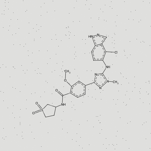 COc1cc(-c2nc(Nc3ccc4[nH]ncc4c3Cl)n(C)n2)ccc1C(=O)NC1CCS(=O)(=O)C1